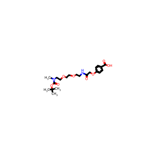 CN(CCOCCOCCNC(=O)COc1ccc(C(=O)O)cc1)C(=O)OC(C)(C)C